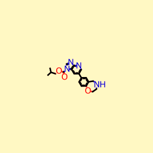 CC(C)COC(=O)n1cnc2ncc(-c3ccc4c(c3)CNCCO4)cc21